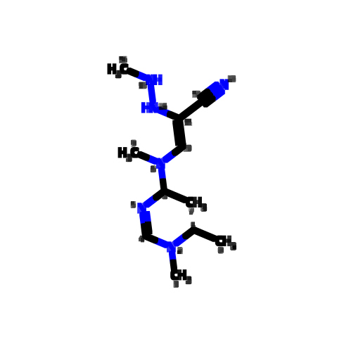 CCN(C)/C=N\C(C)N(C)/C=C(/C#N)NNC